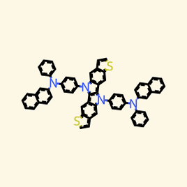 c1ccc(N(c2ccc(-n3c4cc5ccsc5cc4c4c3c3cc5sccc5cc3n4-c3ccc(N(c4ccccc4)c4ccc5ccccc5c4)cc3)cc2)c2ccc3ccccc3c2)cc1